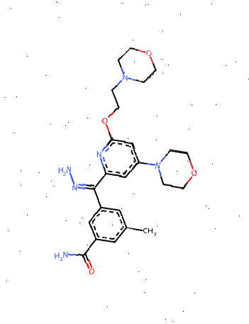 Cc1cc(C(N)=O)cc(C(=NN)c2cc(N3CCOCC3)cc(OCCN3CCOCC3)n2)c1